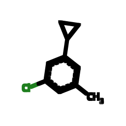 Cc1cc(Cl)cc(C2CC2)c1